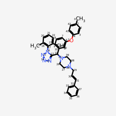 Cc1ccc(Oc2cccc(C(c3nnnn3-c3c(C)cccc3C)N3CCN(C/C=C/c4ccccc4)CC3)c2)cc1